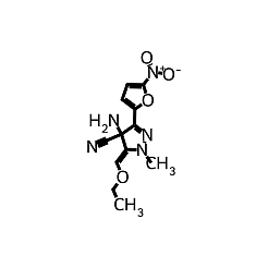 CCOC=C1N(C)N=C(c2ccc([N+](=O)[O-])o2)C1(N)C#N